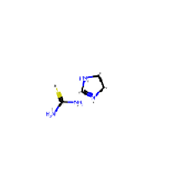 C1=NCCN1.NC(N)=S